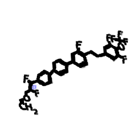 C=COC/C(F)=C(\F)c1ccc(-c2ccc(-c3ccc(CCc4cc(F)c(OC(F)(F)F)c(F)c4)c(F)c3)cc2)cc1